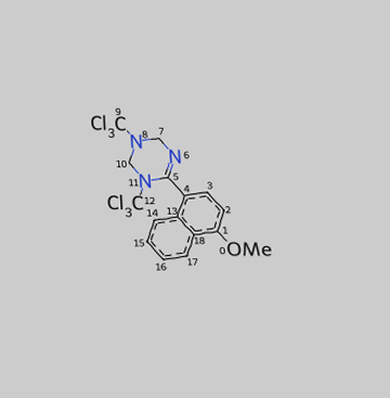 COc1ccc(C2=NCN(C(Cl)(Cl)Cl)CN2C(Cl)(Cl)Cl)c2ccccc12